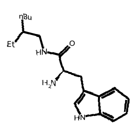 CCCCC(CC)CNC(=O)[C@H](N)Cc1c[nH]c2ccccc12